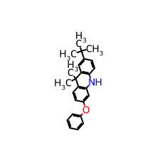 CC(C)(C)c1ccc2c(c1)C(C)(C)c1ccc(Oc3ccccc3)cc1N2